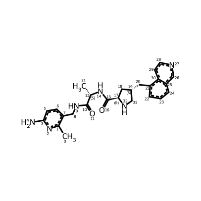 Cc1nc(N)ccc1CNC(=O)[C@H](C)NC(=O)[C@H]1C[C@H](Cc2cccc3cnccc23)CN1